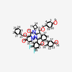 COc1ccc(COCCC2N(C3CCC3)C(=O)c3c(OCc4ccccc4)c(=O)ccn3N2C(c2ccccc2)c2cc(F)c(F)cc2OCc2ccc(OC)cc2)cc1